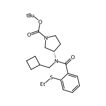 CCSc1ccccc1C(=O)N(CC1CCC1)[C@H]1CCN(C(=O)OC(C)(C)C)C1